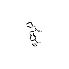 CC(C)(C)c1nc2ccccc2c2nc3c(F)c4c(cc3n12)C1(C)CCC4O1